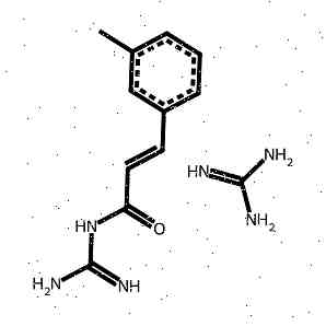 Cc1cccc(C=CC(=O)NC(=N)N)c1.N=C(N)N